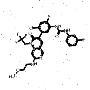 COCCNc1cc2c(cn1)cc(-c1cc(NC(=O)Nc3cccc(F)c3)c(F)cc1Cl)c(=O)n2CC(F)(F)F